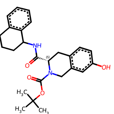 CC(C)(C)OC(=O)N1Cc2cc(O)ccc2C[C@H]1C(=O)NC1CCCc2ccccc21